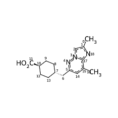 Cc1cn2nc(C[C@H]3CC[C@H](C(=O)O)CC3)cc(C)c2n1